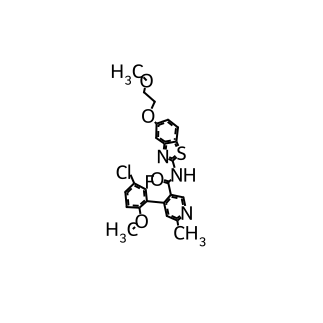 COCCOc1ccc2sc(NC(=O)c3cnc(C)cc3-c3c(OC)ccc(Cl)c3F)nc2c1